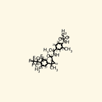 Cc1cc([C@@H](C)NC(=O)C2CC2(C)c2cc(F)c(C(C)(C)C(F)(F)F)c(F)c2)ccc1NS(C)(=O)=O